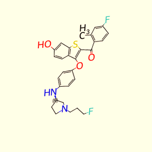 Cc1cc(F)ccc1C(=O)c1sc2cc(O)ccc2c1Oc1ccc(N[C@@H]2CCN(CCCF)C2)cc1